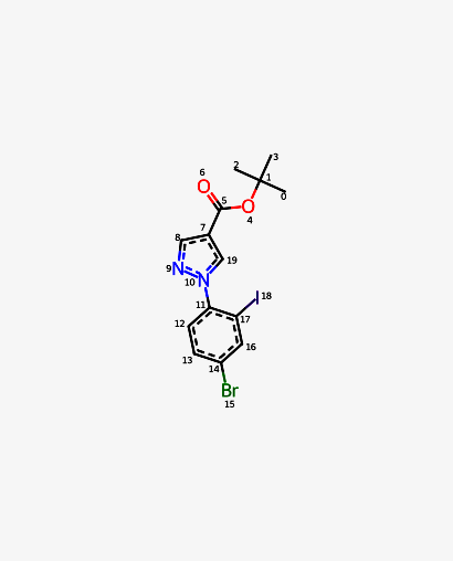 CC(C)(C)OC(=O)c1cnn(-c2ccc(Br)cc2I)c1